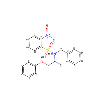 CC(COc1ccccc1)N(Cc1ccccc1)S(=O)(=O)c1ccccc1[N+](=O)[O-]